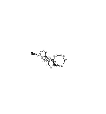 CC(C)(C)CC1CCCC(NC(=O)C2CCNC3(CCCCCCCCCC3)C2)C1